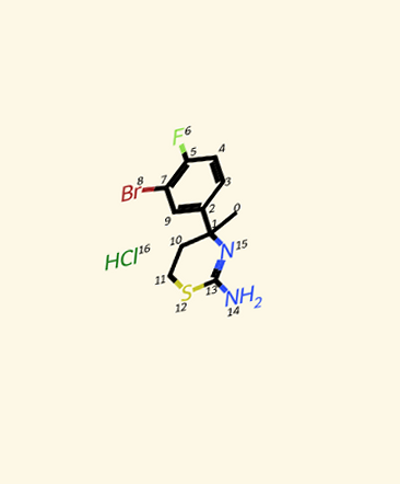 CC1(c2ccc(F)c(Br)c2)CCSC(N)=N1.Cl